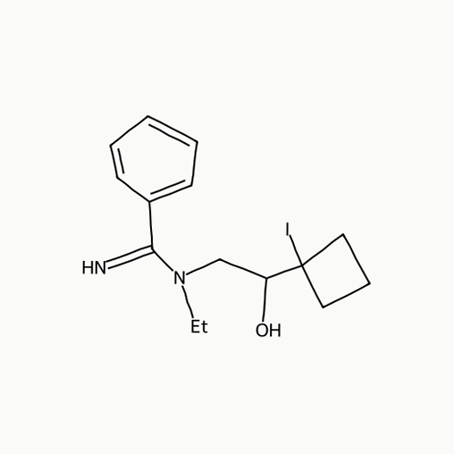 CCN(CC(O)C1(I)CCC1)C(=N)c1ccccc1